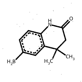 Bc1ccc2c(c1)C(C)(C)CC(=O)N2